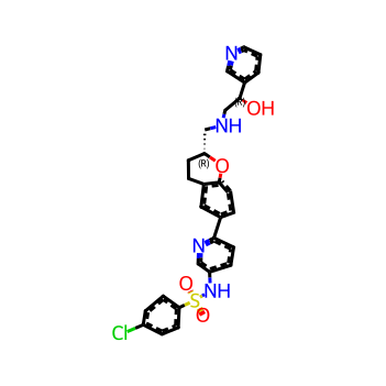 O=S(=O)(Nc1ccc(-c2ccc3c(c2)CC[C@H](CNC[C@H](O)c2cccnc2)O3)nc1)c1ccc(Cl)cc1